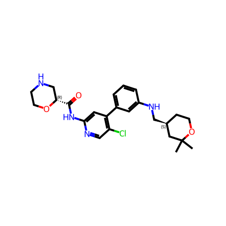 CC1(C)C[C@@H](CNc2cccc(-c3cc(NC(=O)[C@H]4CNCCO4)ncc3Cl)c2)CCO1